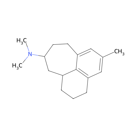 Cc1cc2c3c(c1)CCC(N(C)C)CC3CCC2